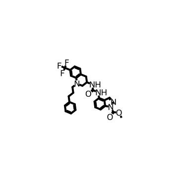 COC(=O)n1ncc2c(NC(=O)NC3Cc4ccc(C(F)(F)F)cc4N(CCCc4ccccc4)C3)cccc21